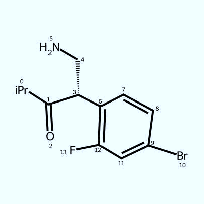 CC(C)C(=O)[C@H](CN)c1ccc(Br)cc1F